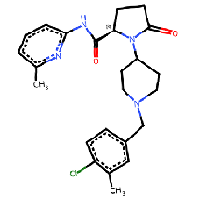 Cc1cccc(NC(=O)[C@H]2CCC(=O)N2C2CCN(Cc3ccc(Cl)c(C)c3)CC2)n1